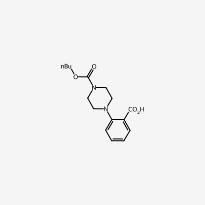 CCCCOC(=O)N1CCN(c2ccccc2C(=O)O)CC1